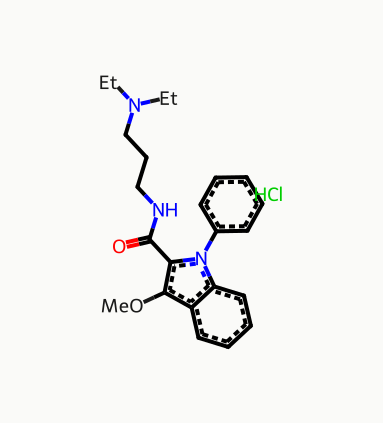 CCN(CC)CCCNC(=O)c1c(OC)c2ccccc2n1-c1ccccc1.Cl